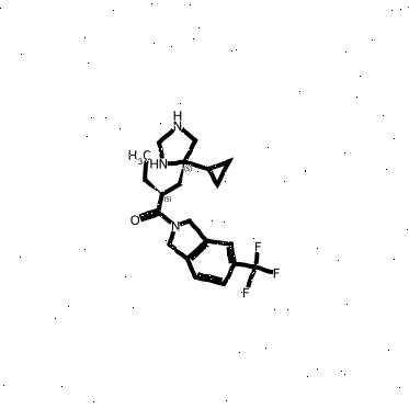 CC[C@@H](C[C@]1(C2CC2)CNCN1)C(=O)N1Cc2ccc(C(F)(F)F)cc2C1